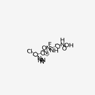 O=C(O)Nc1ccc(-c2[nH]c([C@@H]3CCc4cc(-c5cc(Cl)ccc5-n5cnnn5)cc(=O)n43)nc2F)cc1